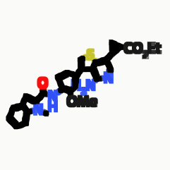 CCOC(=O)C1CC1c1cnc(N)c2c(-c3ccc(NC(=O)c4cc5ccccc5n4C)c(OC)c3)csc12